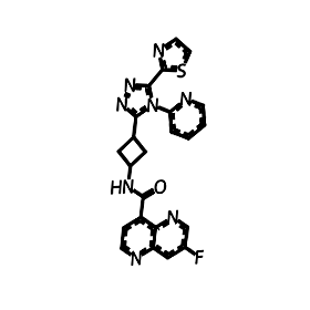 O=C(NC1CC(c2nnc(-c3nccs3)n2-c2ccccn2)C1)c1ccnc2cc(F)cnc12